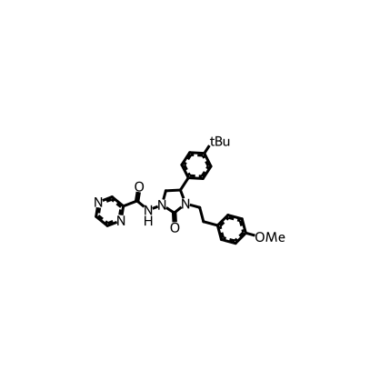 COc1ccc(CCN2C(=O)N(NC(=O)c3cnccn3)CC2c2ccc(C(C)(C)C)cc2)cc1